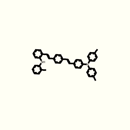 Cc1ccc(N(c2ccc(C)cc2)c2ccc(C=Cc3ccc(C=Cc4ccccc4Nc4ccccc4C)cc3)cc2)cc1